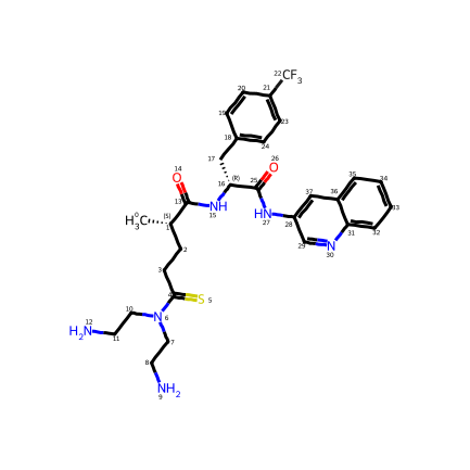 C[C@@H](CCC(=S)N(CCN)CCN)C(=O)N[C@H](Cc1ccc(C(F)(F)F)cc1)C(=O)Nc1cnc2ccccc2c1